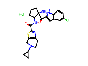 Cl.NC1(C(=O)c2cc3cc(Cl)ccc3[nH]2)CCCC1NC(=O)c1nc2c(s1)CN(C1CC1)CC2